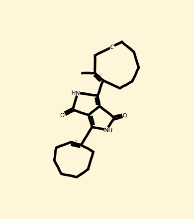 C/C1=C(\C2=C3C(=O)NC(/C4=C/CCCCCC4)=C3C(=O)N2)CCCCCCC1